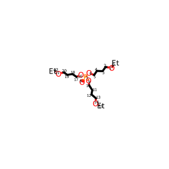 CCOCCCCOP(=O)(OCCCCOCC)OCCCCOCC